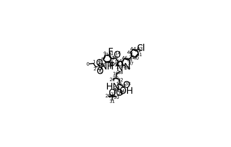 CCCS(=O)(=O)Nc1ccc(F)c(C(=O)c2cn(CCC(C)CC(NC(=O)OC(C)(C)C)C(=O)O)c3ncc(-c4ccc(Cl)cc4)cc23)c1F